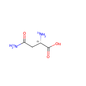 [15NH2]C(=O)C[C@H]([15NH2])C(=O)O